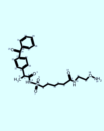 CC(C(=O)NS(=O)(=O)CCCCCC(=O)NCCON)c1ccc(C(=O)c2ccccc2)cc1